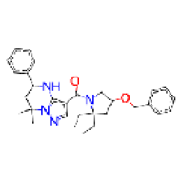 CCC1(CC)CC(OCc2ccccc2)CN1C(=O)c1cnn2c1NC(c1ccccc1)CC2(C)C